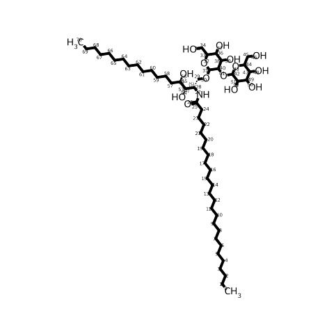 CCCCCCCCCCCCCCCCCCCCCCCCCC(=O)N[C@@H](COC1OC(CO)C(O)C(O)C1OC1OC(CO)C(O)C(O)C1O)[C@H](O)[C@H](O)CCCCCCCCCCCCCC